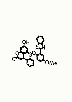 COc1ccc(OOc2cc(O)cc3oc(=O)cc(-c4ccccc4)c23)c(-c2nc3ccccc3s2)c1